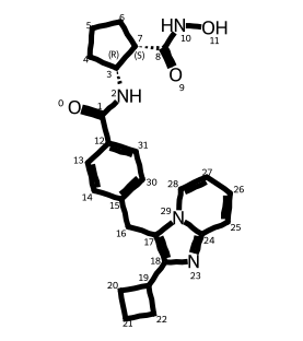 O=C(N[C@@H]1CCC[C@@H]1C(=O)NO)c1ccc(Cc2c(C3CCC3)nc3ccccn23)cc1